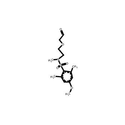 COc1cc(C)c(S(=O)(=O)N(C)CCOC[C]=O)c(C)c1